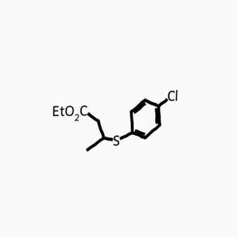 CCOC(=O)CC(C)Sc1ccc(Cl)cc1